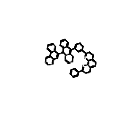 c1ccc(-c2ccc3ccc4ccc(-c5cccc(-c6c7ccccc7c(-c7cc8ccccc8c8ccccc78)c7ccccc67)c5)nc4c3n2)cc1